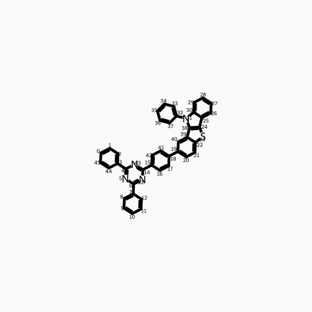 c1ccc(-c2nc(-c3ccccc3)nc(-c3ccc(-c4ccc5sc6c7ccccc7n(-c7ccccc7)c6c5c4)cc3)n2)cc1